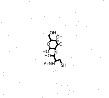 CC(=O)NC(CS)C(O)NC1C(O)OC(CO)[C@H](O)C1O